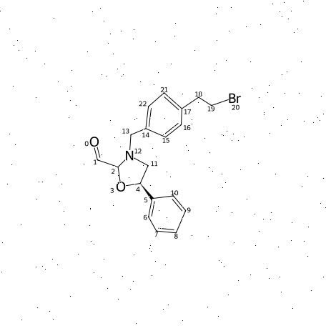 O=CC1O[C@H](c2ccccc2)CN1Cc1ccc(CCBr)cc1